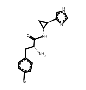 N[C@H](Cc1ccc(Br)cc1)C(=O)N[C@@H]1C[C@H]1c1c[nH]cn1